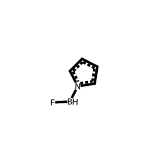 FBn1cccc1